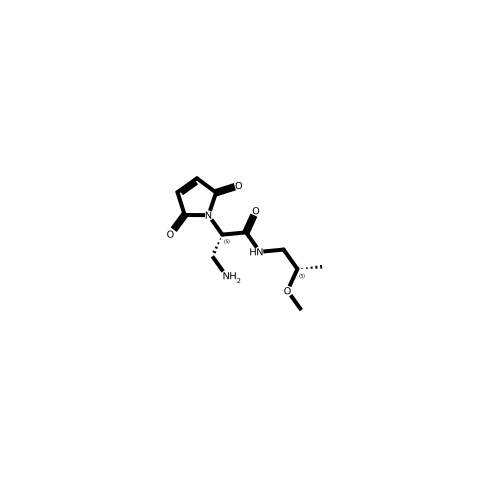 CO[C@@H](C)CNC(=O)[C@H](CN)N1C(=O)C=CC1=O